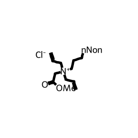 C=CC[N+](CC=C)(CCCCCCCCCCCC)CC(=O)OC.[Cl-]